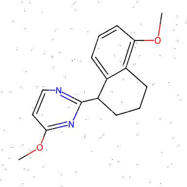 COc1ccnc(C2CCCc3c(OC)cccc32)n1